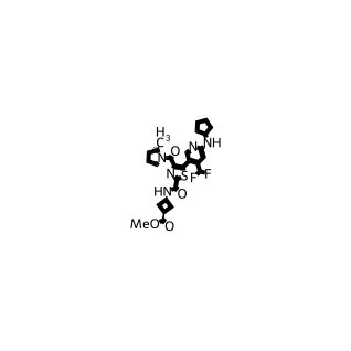 COC(=O)[C@H]1C[C@H](NC(=O)c2nc(C(=O)N3CCC[C@@H]3C)c(-c3cnc(NC4CCCC4)cc3C(F)F)s2)C1